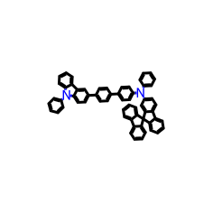 c1ccc(N(c2ccc(-c3ccc(-c4ccc5c(c4)c4ccccc4n5-c4ccccc4)cc3)cc2)c2ccc3c(c2)C2(c4ccccc4-c4ccccc42)c2ccccc2-3)cc1